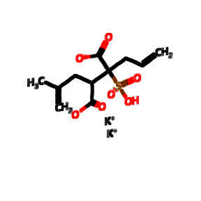 C=CCC(C(=O)[O-])(C(CC(=C)C)C(=O)[O-])S(=O)(=O)O.[K+].[K+]